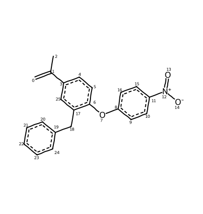 C=C(C)c1ccc(Oc2ccc([N+](=O)[O-])cc2)c(Cc2ccccc2)c1